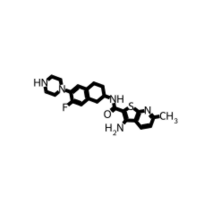 Cc1ccc2c(N)c(C(=O)NC3CCc4cc(N5CCNCC5)c(F)cc4C3)sc2n1